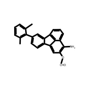 Cc1cccc(C)c1-c1ccc2c(c1)-c1cccc3c(N)c(OC=O)cc-2c13